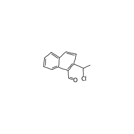 CC(Cl)c1ccc2ccccc2c1C=O